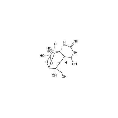 N=C1NC(O)[C@H]2C3OC4(O)OC(C(O)[C@@]2(N1)[C@@H]4O)[C@]3(O)CO